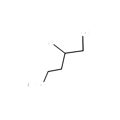 CCOC(=O)CCC(Cl)CC(Cl)(Cl)Cl